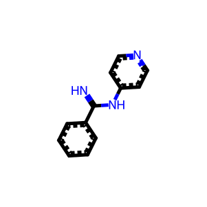 N=C(Nc1ccncc1)c1ccccc1